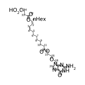 CCCCCC[C@H](C/C=C\CCCCCCCC(=O)OCCOCn1cnc2c(=O)[nH]c(N)nc21)OC(=O)CCC(=O)O